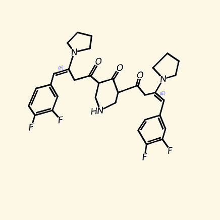 O=C(C/C(=C\c1ccc(F)c(F)c1)N1CCCC1)C1CNCC(C(=O)C/C(=C\c2ccc(F)c(F)c2)N2CCCC2)C1=O